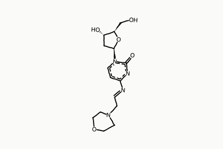 O=c1nc(N=CCN2CCOCC2)ccn1[C@H]1C[C@H](O)[C@@H](CO)O1